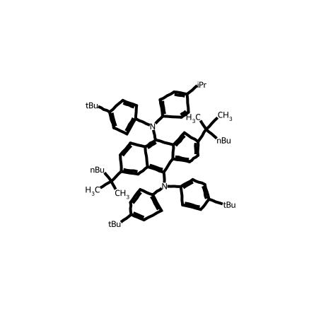 CCCCC(C)(C)c1ccc2c(N(c3ccc(C(C)(C)C)cc3)c3ccc(C(C)(C)C)cc3)c3cc(C(C)(C)CCCC)ccc3c(N(c3ccc(C(C)C)cc3)c3ccc(C(C)(C)C)cc3)c2c1